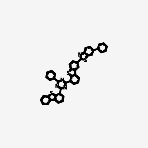 c1ccc(-c2ccc3nc(-c4ccc5sc6c(-c7nc(-c8ccccc8)nc(-c8cccc9c8sc8ccccc89)n7)cccc6c5c4)sc3c2)cc1